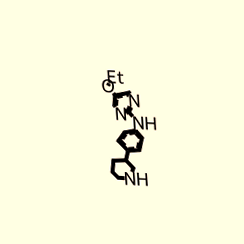 CCOc1cnc(Nc2ccc(C3CCCNC3)cc2)nc1